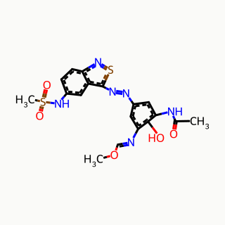 COC=Nc1cc(/N=N/c2snc3ccc(NS(C)(=O)=O)cc23)cc(NC(C)=O)c1O